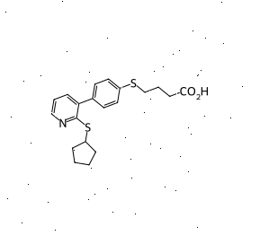 O=C(O)CCCSc1ccc(-c2cccnc2SC2CCCC2)cc1